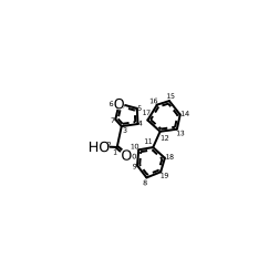 O=C(O)c1ccoc1.c1ccc(-c2ccccc2)cc1